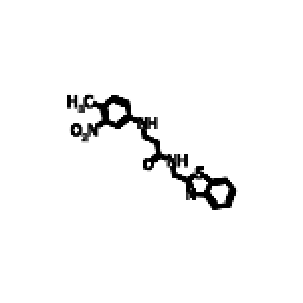 Cc1ccc(NCCC(=O)NCc2nc3ccccc3s2)cc1[N+](=O)[O-]